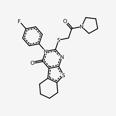 O=C(CSc1nc2sc3c(c2c(=O)n1-c1ccc(F)cc1)CCCC3)N1CCCC1